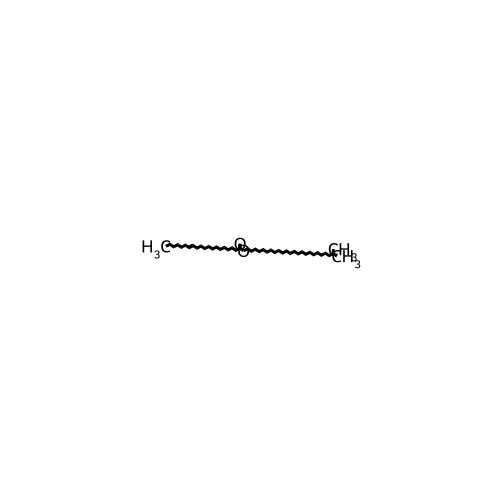 CCCCCCC=CCCCCCCCCCCCC(=O)OCCCCCCCCCCCCCCCCCCCCCCC(C)C